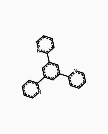 c1ccc(-c2cc(-c3ccccn3)cc(-c3ccccn3)c2)nc1